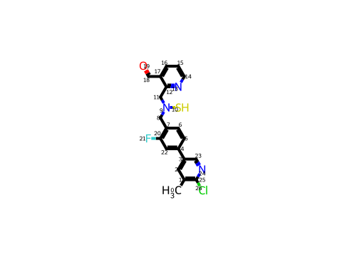 Cc1cc(-c2ccc(CN(S)Cc3ncccc3C=O)c(F)c2)cnc1Cl